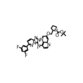 CN(c1ccnc2cc(OCC3CCCN3C(=O)OC(C)(C)C)cnc12)c1nnc2ccc(-c3cc(F)cc(F)c3)nn12